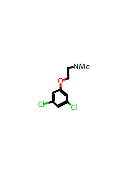 CNCCOc1cc(Cl)cc(Cl)c1